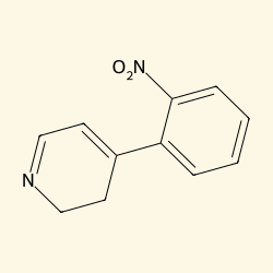 O=[N+]([O-])c1ccccc1C1=CC=NCC1